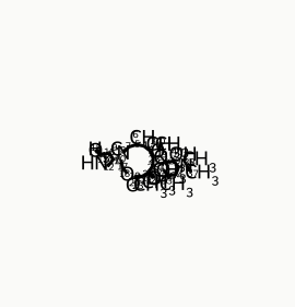 CO[C@]1(C)C[C@@H](C)CN(C)[C@@H](C2CNC(=O)C2)COC(=O)C(C)(C)C(=O)[C@H](C)[C@H]1O[C@@H]1O[C@H](C)C[C@H](N(C)C)[C@H]1O